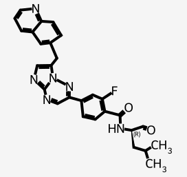 CC(C)C[C@H](C=O)NC(=O)c1ccc(-c2cnc3ncc(Cc4ccc5ncccc5c4)n3n2)cc1F